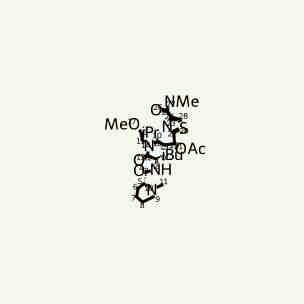 CC[C@H](C)[C@H](NC(=O)[C@H]1CCCCN1C)C(=O)N(CCOC)[C@H](C[C@@H](OC(C)=O)c1nc(C(=O)NC)cs1)C(C)C